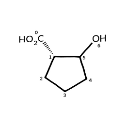 O=C(O)[C@H]1CCCC1O